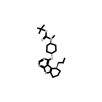 CCC[C@H]1CCCc2sc3ncnc(O[C@H]4CC[C@H](N(C)C(=O)OC(C)(C)C)CC4)c3c21